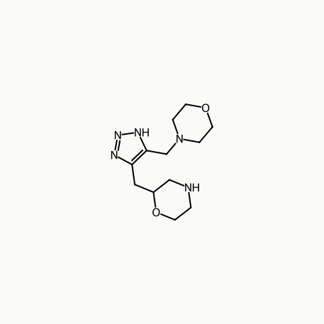 C1COC(Cc2nn[nH]c2CN2CCOCC2)CN1